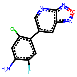 Nc1cc(Cl)c(-c2cnc3nonc3c2)cc1F